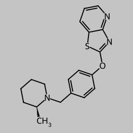 C[C@H]1CCCCN1Cc1ccc(Oc2nc3ncccc3s2)cc1